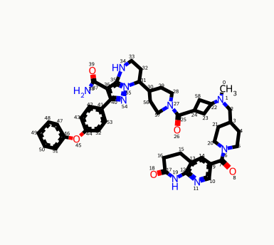 CN(CC1CCN(C(=O)c2cnc3c(c2)CCC(=O)N3)CC1)C1CC(C(=O)N2CCC(C3CCNc4c(C(N)=O)c(-c5ccc(Oc6ccccc6)cc5)nn43)CC2)C1